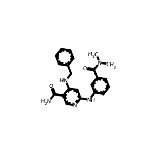 CN(C)C(=O)c1cccc(Nc2cc(NCc3ccccc3)c(C(N)=O)cn2)c1